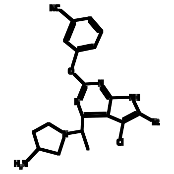 CCc1[nH]c2nc(Oc3cccc(C#N)c3)nc(C(C)N3CCC(N)C3)c2c1Cl